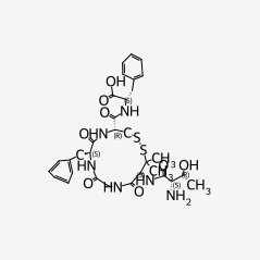 C[C@@H](O)[C@H](N)C(=O)N[C@H]1C(=O)NCC(=O)N[C@@H](Cc2ccccc2)C(=O)N[C@H](C(=O)N[C@@H](Cc2ccccc2)C(=O)O)CSSC1(C)C